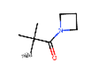 CCCCC(C)(C)C(=O)N1CCC1